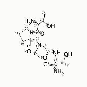 CC(=O)N(CC(=O)N[C@H](C(N)=O)[C@@H](C)O)CC1(C)CCCN1C(=O)[C@@H](N)[C@@H](C)O